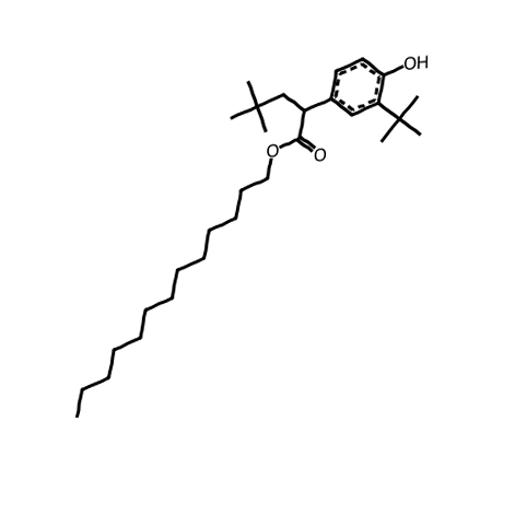 CCCCCCCCCCCCCOC(=O)C(CC(C)(C)C)c1ccc(O)c(C(C)(C)C)c1